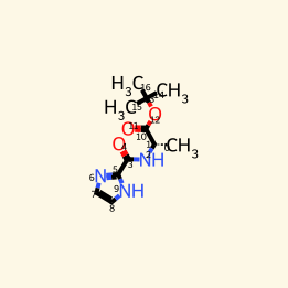 C[C@H](NC(=O)c1ncc[nH]1)C(=O)OC(C)(C)C